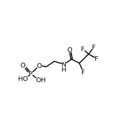 O=C(NCCOP(=O)(O)O)C(F)C(F)(F)F